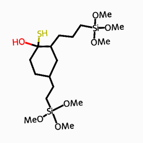 CO[Si](CCCC1CC(CC[Si](OC)(OC)OC)CCC1(O)S)(OC)OC